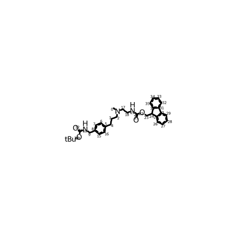 CN(CCCc1ccc(CNC(=O)OC(C)(C)C)cc1)CCNC(=O)OCC1c2ccccc2-c2ccccc21